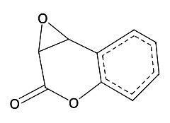 O=C1Oc2ccccc2C2OC12